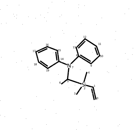 C=C[Si](C)(C)C(C)N(c1ccccc1)c1ccccc1